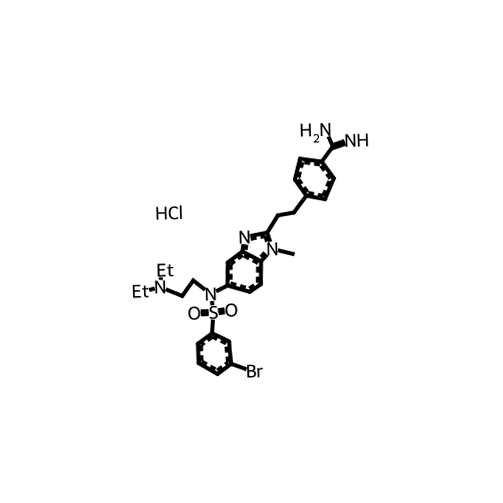 CCN(CC)CCN(c1ccc2c(c1)nc(CCc1ccc(C(=N)N)cc1)n2C)S(=O)(=O)c1cccc(Br)c1.Cl